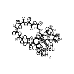 CCN(C(=O)C(C)OC(=O)C(C)OC(=O)C(C)OC(=O)C(C)OC(=O)C(C)OC(=O)CCCC(=O)OC(CNC(C)(C)C)COc1nsnc1N1CCOCC1)[C@@H]1C[C@@H](C)S(=O)(=O)c2sc(S(N)(=O)=O)cc21